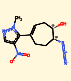 Cn1ncc([N+](=O)[O-])c1C1=CC[C@H](O)[C@H](N=[N+]=[N-])CC1